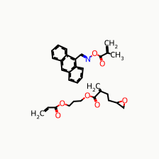 C=C(C)C(=O)ON=Cc1c2ccccc2cc2ccccc12.C=CC(=O)OCCCOC(=O)C(=C)CCC1CO1